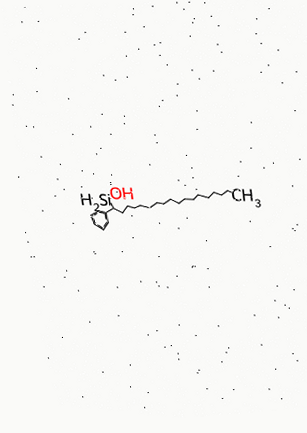 CCCCCCCCCCCCCCCCCC([SiH2]O)c1ccccc1